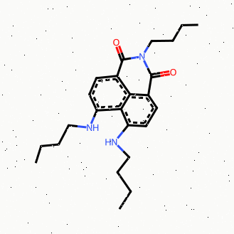 CCCCNc1ccc2c3c(ccc(NCCCC)c13)C(=O)N(CCCC)C2=O